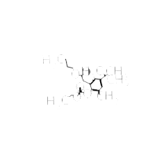 CCCCOC(=O)Cc1cc(C(C)(C)C)cc(C)c1OC(=O)OCC